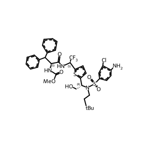 COC(=O)N[C@H](C(=O)N[C@H](c1ccc([C@@H](CO)N(CCC(C)(C)C)S(=O)(=O)c2ccc(N)c(Cl)c2)s1)C(F)(F)F)C(c1ccccc1)c1ccccc1